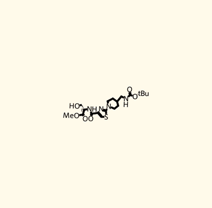 COC(=O)[C@H](CO)NC(=O)c1csc(N2CCC(CNC(=O)OC(C)(C)C)CC2)n1